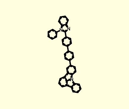 c1ccc(-n2c(-c3ccc(-c4ccc(-c5ccc6c(c5)c5cccc7c8ccccc8n6c75)cc4)cc3)nc3ccccc32)cc1